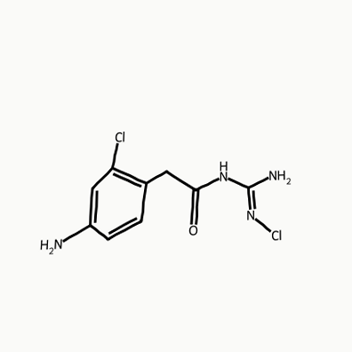 NC(=NCl)NC(=O)Cc1ccc(N)cc1Cl